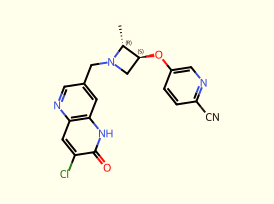 C[C@@H]1[C@@H](Oc2ccc(C#N)nc2)CN1Cc1cnc2cc(Cl)c(=O)[nH]c2c1